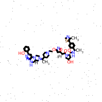 Cc1ncsc1-c1ccc([C@H](C)NC(=O)[C@@H]2C[C@@H](O)CN2C(=O)[C@@H](c2cc(OCCN3CCC([C@@H](C)N4CCN5c6cc(-c7ccccc7O)nnc6NC[C@H]5C4)CC3)no2)C(C)C)cc1